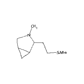 CSCCC1C2CC2CN1C